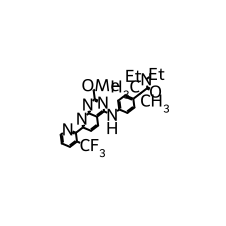 CCN(CC)C(=O)C(C)(C)c1ccc(Nc2nc(COC)nc3nc(-c4ncccc4C(F)(F)F)ccc23)cc1